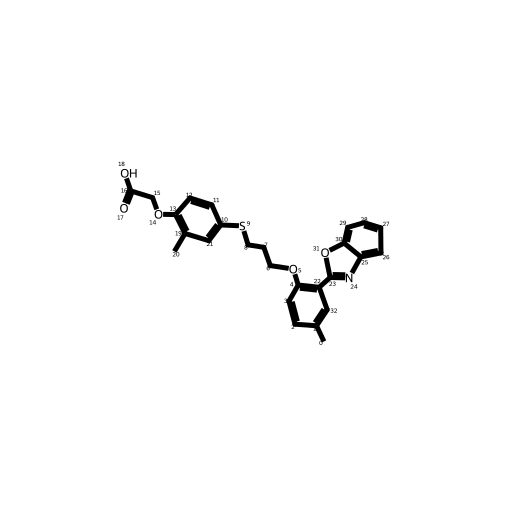 Cc1ccc(OCCCSc2ccc(OCC(=O)O)c(C)c2)c(-c2nc3ccccc3o2)c1